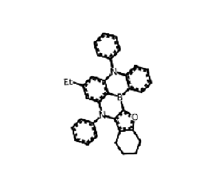 CCc1cc2c3c(c1)N(c1ccccc1)c1c(oc4c1CCCC4)B3c1ccccc1N2c1ccccc1